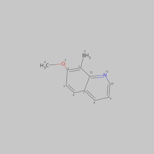 Bc1c(OC)ccc2cccnc12